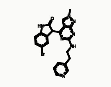 Cn1cc2c(C3C(=O)Nc4ccc(Br)cc43)nc(NCCc3cccnc3)nc2n1